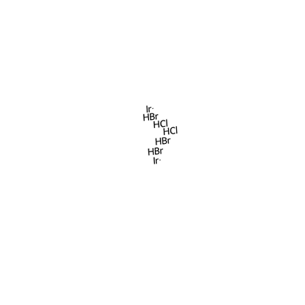 Br.Br.Br.Cl.Cl.[Ir].[Ir]